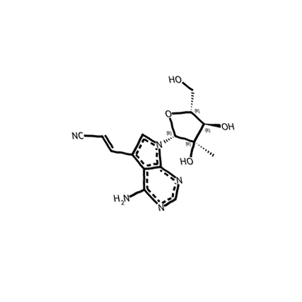 C[C@@]1(O)[C@H](O)[C@@H](CO)O[C@H]1n1cc(C=CC#N)c2c(N)ncnc21